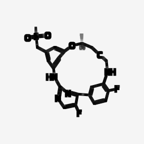 C[C@@H]1CCCNc2cc(ccc2F)-c2nc(ncc2F)Nc2cc(CS(C)(=O)=O)cc(c2)O1